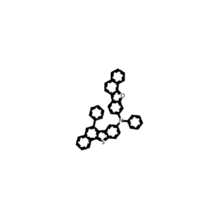 c1ccc(-c2cc3ccccc3c3sc4ccc(N(c5ccccc5)c5ccc6c(c5)oc5c7ccccc7ccc65)cc4c23)cc1